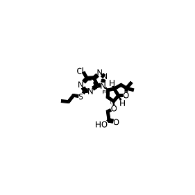 CCCSc1nc(Cl)c2nnn([C@@H]3C[C@H](OCC(=O)O)[C@H]4OC(C)(C)C[C@H]43)c2n1